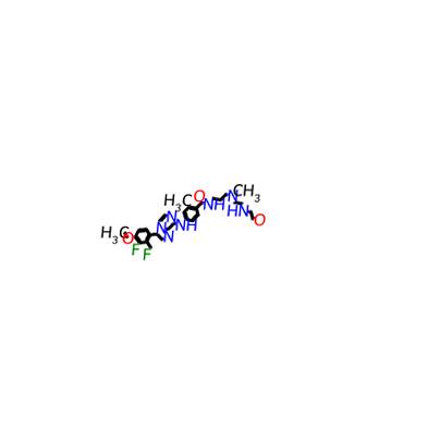 COc1ccc(C2CN=C3C(Nc4ccc(C(=O)NCCCN(C)CCNCC=O)c(C)c4)=NC=CN32)c(CF)c1F